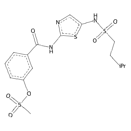 CC(C)CCS(=O)(=O)Nc1cnc(NC(=O)c2cccc(OS(C)(=O)=O)c2)s1